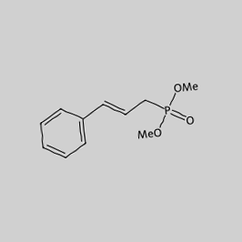 COP(=O)(C/C=C/c1ccccc1)OC